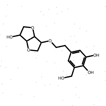 OCc1cc(CCOC2COC3C(O)COC23)cc(O)c1O